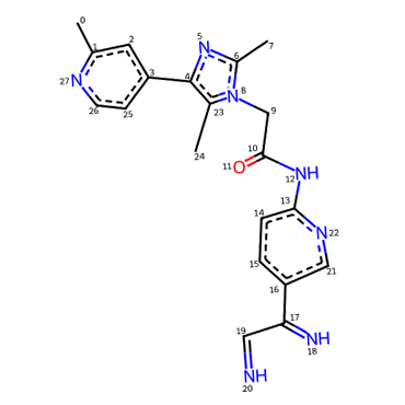 Cc1cc(-c2nc(C)n(CC(=O)Nc3ccc(C(=N)C=N)cn3)c2C)ccn1